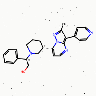 Cc1nn2c([C@H]3CCCN([C@@H](CO)c4ccccc4)C3)ccnc2c1-c1ccncc1